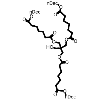 CCCCCCCCCCOC(=O)CCCCCC(=O)OCC(CO)(COC(=O)CCCCCC(=O)OCCCCCCCCCC)COC(=O)CCCCCC(=O)OCCCCCCCCCC